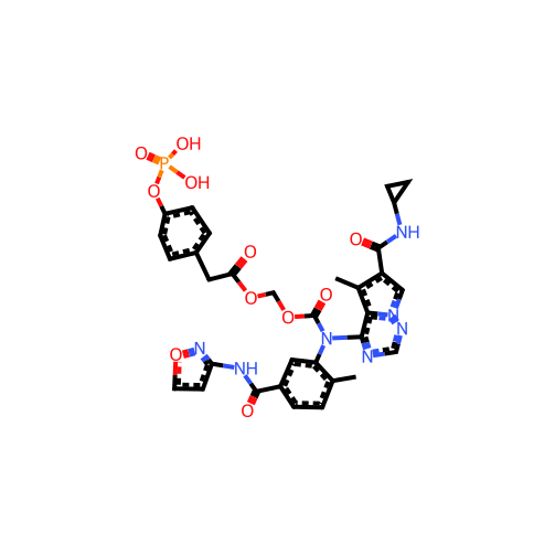 Cc1ccc(C(=O)Nc2ccon2)cc1N(C(=O)OCOC(=O)Cc1ccc(OP(=O)(O)O)cc1)c1ncnn2cc(C(=O)NC3CC3)c(C)c12